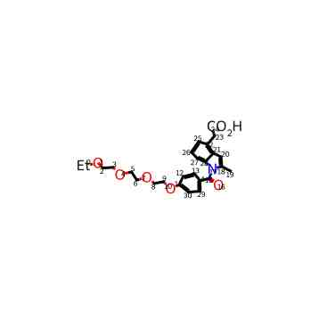 CCOCCOCCOCCOc1ccc(C(=O)n2c(C)cc3c(CC(=O)O)cccc32)cc1